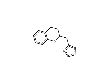 [CH](c1cccs1)C1CCc2ccccc2O1